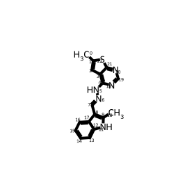 Cc1cc2c(NN=Cc3c(C)[nH]c4ccccc34)ncnc2s1